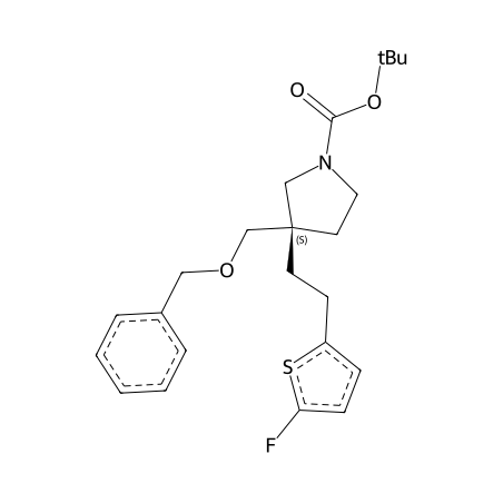 CC(C)(C)OC(=O)N1CC[C@](CCc2ccc(F)s2)(COCc2ccccc2)C1